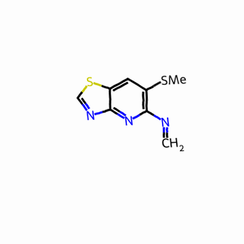 C=Nc1nc2ncsc2cc1SC